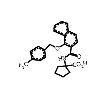 O=C(NC1(C(=O)O)CCCC1)c1ccc2ccccc2c1OCc1ccc(C(F)(F)F)cc1